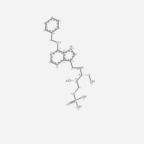 O=P(O)(O)OC[C@H](O)[C@@H](CO)NCc1c[nH]c2c(OCc3ccccc3)ncnc12